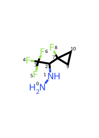 NNC(C(F)(F)F)C1(F)CC1